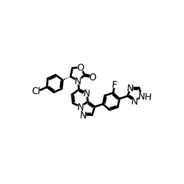 O=C1OC[C@@H](c2ccc(Cl)cc2)N1c1ccn2ncc(-c3ccc(-c4nc[nH]n4)c(F)c3)c2n1